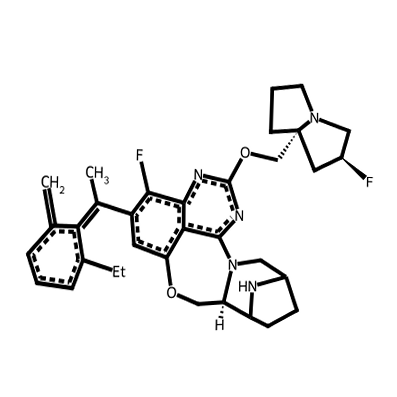 C=c1cccc(CC)/c1=C(/C)c1cc2c3c(nc(OC[C@]45CCCN4C[C@@H](F)C5)nc3c1F)N1CC3CCC(N3)[C@H]1CO2